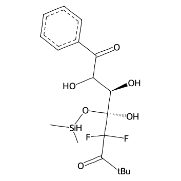 C[SiH](C)O[C@@](O)([C@H](O)C(O)C(=O)c1ccccc1)C(F)(F)C(=O)C(C)(C)C